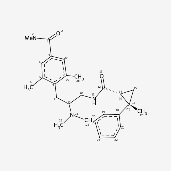 CNC(=O)c1cc(C)c(CC(CNC(=O)[C@@H]2C[C@]2(C)c2ccccc2)N(C)C)c(C)c1